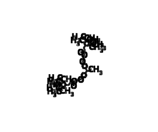 CCC(c1ccc(OCCOC(=O)CCc2cc(C(C)(C)C)c(O)c(C(C)(C)C)c2)cc1)c1ccc(OCCOC(=O)CCc2cc(C(C)(C)C)c(O)c(C(C)(C)C)c2)cc1